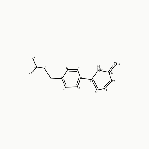 CC(C)CCc1ccc(-c2cccc(=O)[nH]2)cc1